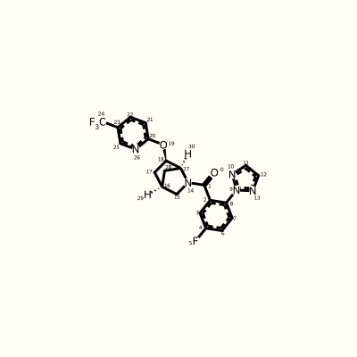 O=C(c1cc(F)ccc1-n1nccn1)N1C[C@H]2C[C@@H](Oc3ccc(C(F)(F)F)cn3)[C@@H]1C2